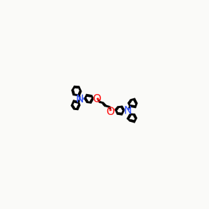 C(=CCOc1ccc(N(c2ccccc2)c2ccccc2)cc1)COc1ccc(N(c2ccccc2)c2ccccc2)cc1